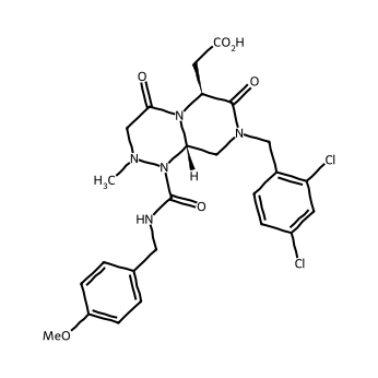 COc1ccc(CNC(=O)N2[C@H]3CN(Cc4ccc(Cl)cc4Cl)C(=O)[C@H](CC(=O)O)N3C(=O)CN2C)cc1